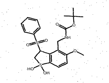 COc1ccc2c(c1CNC(=O)OC(C)(C)C)C(S(=O)(=O)c1ccccc1)CS2(O)O